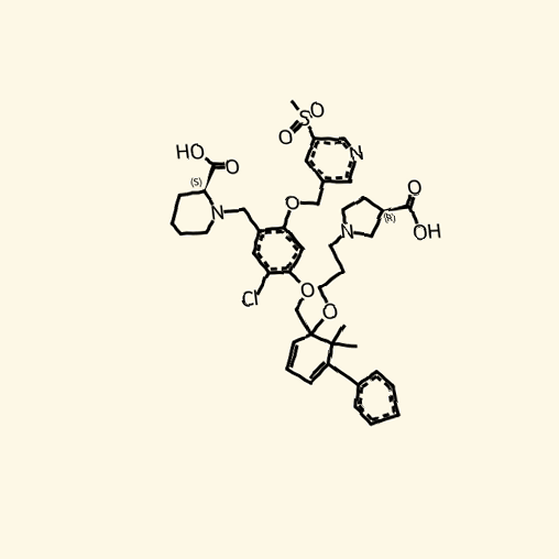 CC1(C)C(c2ccccc2)=CC=CC1(COc1cc(OCc2cncc(S(C)(=O)=O)c2)c(CN2CCCC[C@H]2C(=O)O)cc1Cl)OCCCN1CC[C@@H](C(=O)O)C1